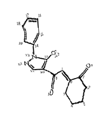 O=C1CCCC/C1=C\C(=O)c1cnn(-c2ccccc2)c1C(F)(F)F